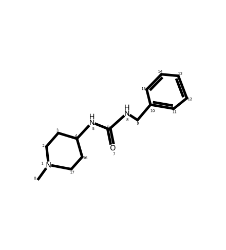 CN1CCC(NC(=O)NCc2ccccc2)CC1